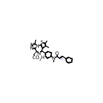 Cc1sc2c(c1C)C(c1ccc(N(C)C(=O)/C=C/c3ccccc3)cc1)=N[C@@H](CC(=O)O)c1nnc(C)n1-2